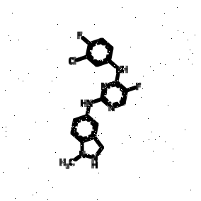 CN1NCc2cc(Nc3ncc(F)c(Nc4ccc(F)c(Cl)c4)n3)ccc21